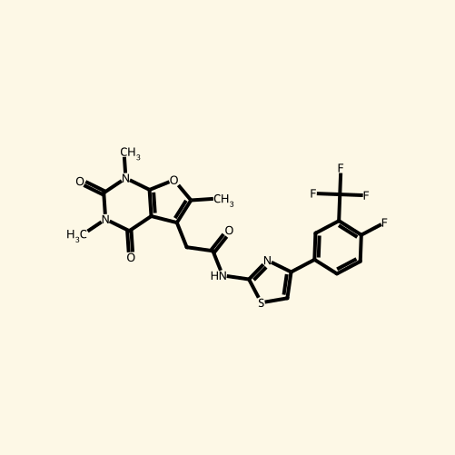 Cc1oc2c(c1CC(=O)Nc1nc(-c3ccc(F)c(C(F)(F)F)c3)cs1)c(=O)n(C)c(=O)n2C